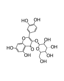 O=c1c(O[C@@H]2OC(CO)C(O)[C@@H](O)[C@@H]2O)c(-c2ccc(O)c(O)c2)oc2cc(O)cc(O)c12